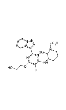 CC(C)(C)C1[C@H](Nc2nc(-c3cnn4ccccc34)nc(OCCO)c2F)CCCN1C(=O)O